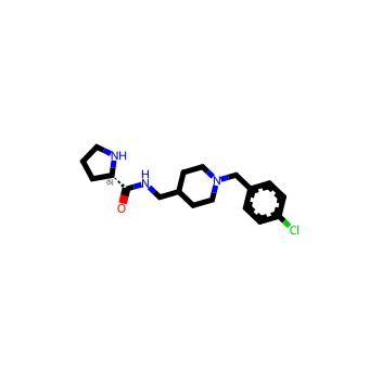 O=C(NCC1CCN(Cc2ccc(Cl)cc2)CC1)[C@@H]1CCCN1